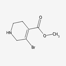 COC(=O)C1=C(Br)CNCC1